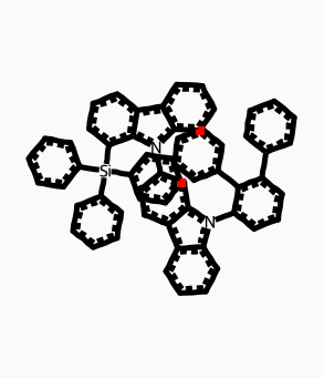 c1ccc(-c2cccc(-n3c4ccccc4c4ccc(-n5c6ccccc6c6cccc([Si](c7ccccc7)(c7ccccc7)c7ccccc7)c65)cc43)c2-c2ccccc2)cc1